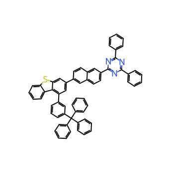 c1ccc(-c2nc(-c3ccccc3)nc(-c3ccc4cc(-c5cc(-c6cccc(C(c7ccccc7)(c7ccccc7)c7ccccc7)c6)c6c(c5)sc5ccccc56)ccc4c3)n2)cc1